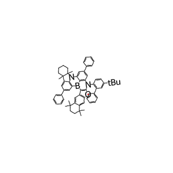 CC(C)(C)c1ccc(N2c3cc(-c4ccccc4)cc4c3B(c3cc(-c5ccccc5)cc5c3N4C3(C)CCCCC53C)c3c2oc2cc4c(cc32)C(C)(C)CCC4(C)C)c(-c2ccccc2)c1